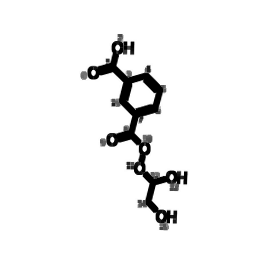 O=C(O)c1cccc(C(=O)OOC(O)CO)c1